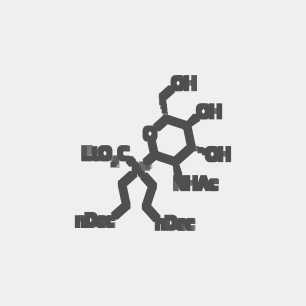 CCCCCCCCCCCC[N+](CCCCCCCCCCCC)(C(=O)OCC)C1O[C@H](CO)[C@@H](O)[C@H](O)[C@H]1NC(C)=O